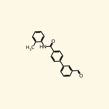 Cc1ccccc1NC(=O)c1ccc(-c2cccc(C=O)c2)cc1